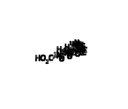 CN1CCN([13CH2][13CH]2[13CH2][13CH2][13CH2][15N]2CC(=O)[15NH][13CH2][13CH2][13C](=O)[15NH]CC[13C](=O)NCCCC(=O)O)[13CH2][13CH2]1